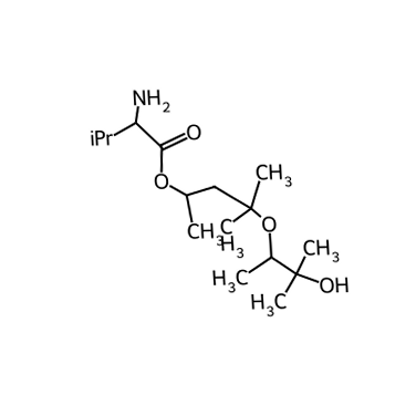 CC(CC(C)(C)OC(C)C(C)(C)O)OC(=O)C(N)C(C)C